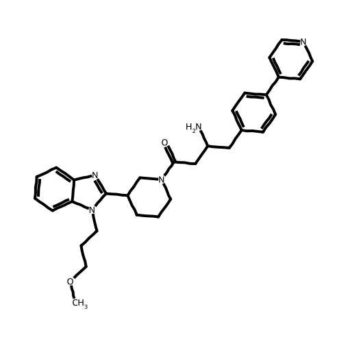 COCCCn1c(C2CCCN(C(=O)CC(N)Cc3ccc(-c4ccncc4)cc3)C2)nc2ccccc21